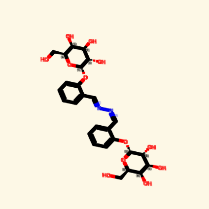 OC[C@@H]1O[C@@H](Oc2ccccc2/C=N/N=C\c2ccccc2O[C@H]2O[C@H](CO)[C@H](O)[C@H](O)[C@H]2O)[C@@H](O)[C@H](O)[C@@H]1O